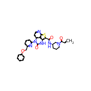 C=CC(=O)N1CCC[C@@H](NC(=O)c2sc3nccc4c3c2NC(=O)N4c2cccc(COc3ccccc3)n2)C1